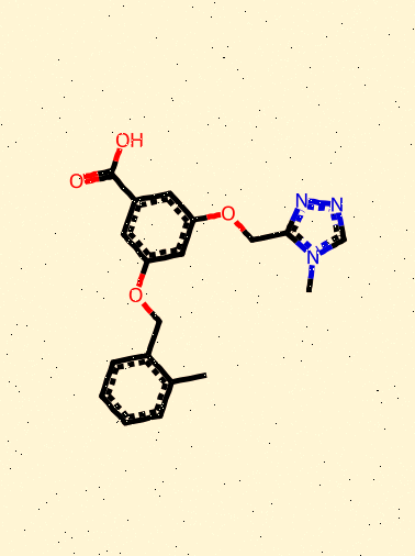 Cc1ccccc1COc1cc(OCc2nncn2C)cc(C(=O)O)c1